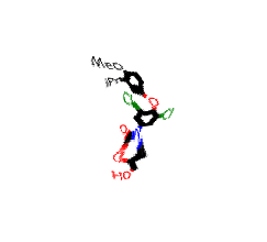 COc1ccc(Oc2c(Cl)cc(N3CC(CO)OC3=O)cc2Cl)cc1C(C)C